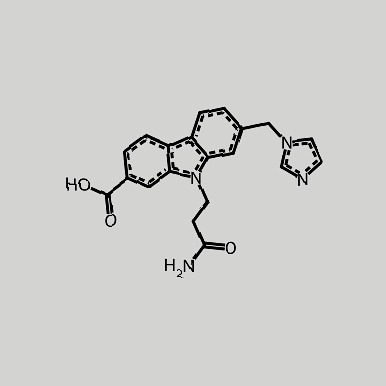 NC(=O)CCn1c2cc(Cn3ccnc3)ccc2c2ccc(C(=O)O)cc21